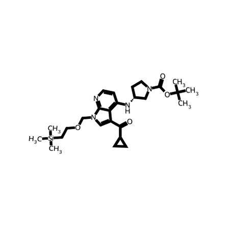 CC(C)(C)OC(=O)N1CC[C@@H](Nc2ccnc3c2c(C(=O)C2CC2)cn3COCC[Si](C)(C)C)C1